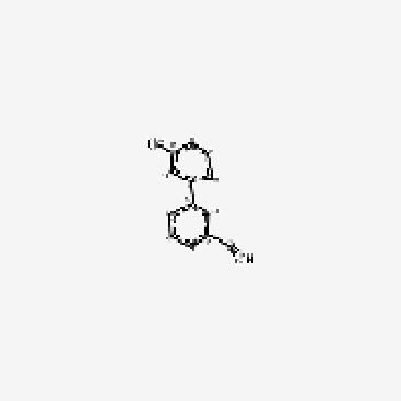 C#Cc1cccc(-c2cccc(Cl)c2)c1